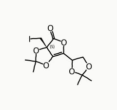 CC1(C)OCC(C2=C3OC(C)(C)O[C@]3(CI)C(=O)O2)O1